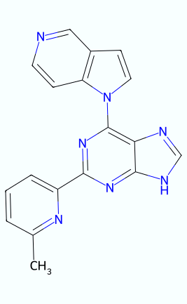 Cc1cccc(-c2nc(-n3ccc4cnccc43)c3nc[nH]c3n2)n1